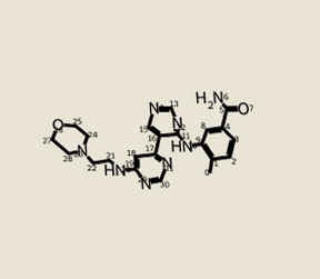 Cc1ccc(C(N)=O)cc1Nc1ncncc1-c1cc(NCCN2CCOCC2)ncn1